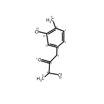 Cc1ccc(CC(=O)C(C)Cl)cc1Cl